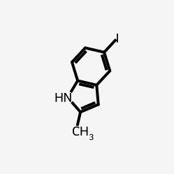 Cc1cc2cc(I)ccc2[nH]1